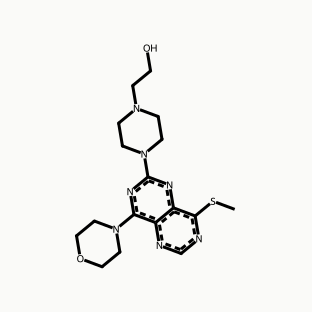 CSc1ncnc2c(N3CCOCC3)nc(N3CCN(CCO)CC3)nc12